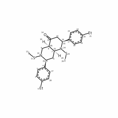 CCc1ccc([C@@H]2C[C@H]3[C@@H](CN2SI)C(=O)C[C@@H](c2ccc(CC)cc2)N3SI)cc1